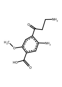 COc1cc(C(=O)CCN)c(N)cc1C(=O)O